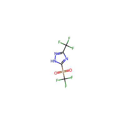 O=S(=O)(c1nc(C(F)(F)F)n[nH]1)C(F)(F)F